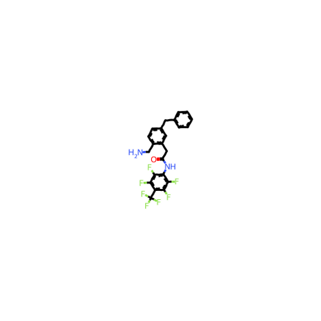 NCc1ccc(Cc2ccccc2)cc1CC(=O)Nc1c(F)c(F)c(C(F)(F)F)c(F)c1F